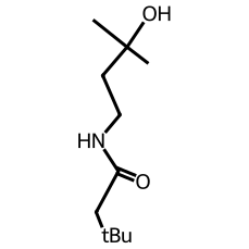 CC(C)(C)CC(=O)NCCC(C)(C)O